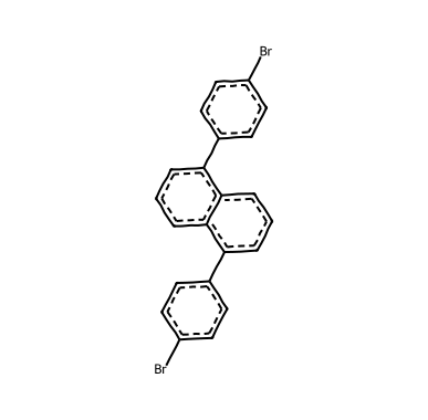 Brc1ccc(-c2cccc3c(-c4ccc(Br)cc4)cccc23)cc1